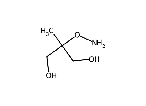 CC(CO)(CO)ON